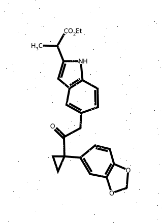 CCOC(=O)C(C)c1cc2cc(CC(=O)C3(c4ccc5c(c4)OCO5)CC3)ccc2[nH]1